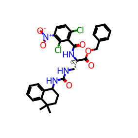 CC1(C)CCC(NC(=O)NC[C@H](NC(=O)c2c(Cl)ccc([N+](=O)[O-])c2Cl)C(=O)OCc2ccccc2)c2ccccc21